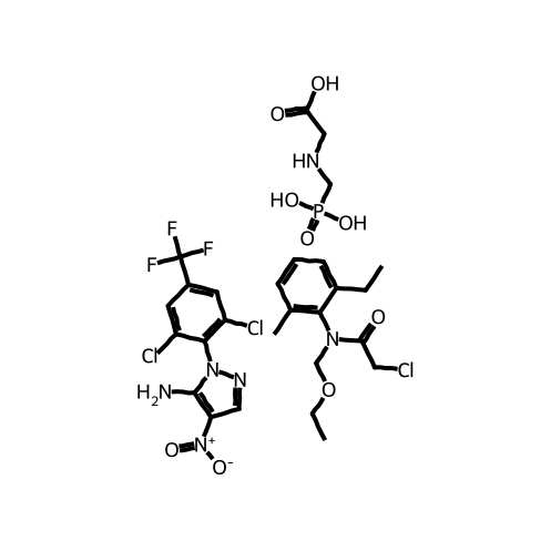 CCOCN(C(=O)CCl)c1c(C)cccc1CC.Nc1c([N+](=O)[O-])cnn1-c1c(Cl)cc(C(F)(F)F)cc1Cl.O=C(O)CNCP(=O)(O)O